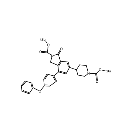 CC(C)(C)OC(=O)N1CCC(c2cc3c(c(-c4ccc(Oc5ccccc5)cc4)c2)CN(C(=O)OC(C)(C)C)C3=O)CC1